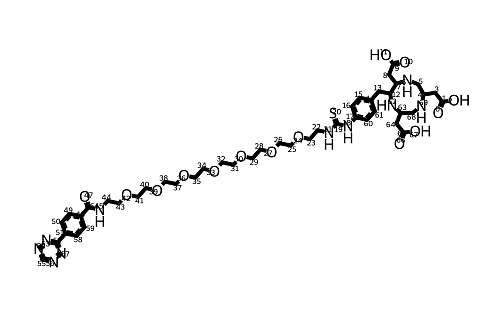 O=C(O)CC1CNC(CC(=O)O)C(Cc2ccc(NC(=S)NCCOCCOCCOCCOCCOCCOCCOCCNC(=O)c3ccc(-c4nncnn4)cc3)cc2)NC(CC(=O)O)CN1